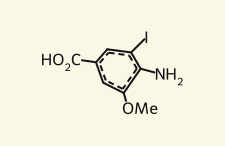 COc1cc(C(=O)O)cc(I)c1N